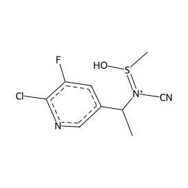 CC(c1cnc(Cl)c(F)c1)[N+](C#N)=S(C)O